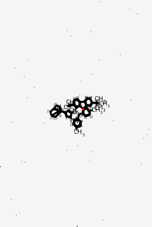 Cc1ccc([C](c2ccc(C)cc2)=[Zr]([C]2=CC(C3C4CC5CC(C4)CC3C5)=CC2C)[c]2c(C(C)(C)C)ccc3c2Cc2cc(C(C)(C)C)ccc2-3)cc1